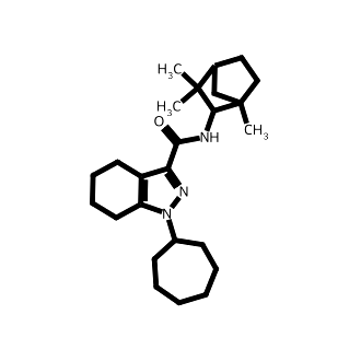 CC12CCC(C1)C(C)(C)C2NC(=O)c1nn(C2CCCCCC2)c2c1CCCC2